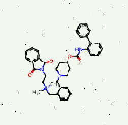 C[N+](C)(CCN1C(=O)c2ccccc2C1=O)Cc1ccccc1CN1CCC(OC(=O)Nc2ccccc2-c2ccccc2)CC1